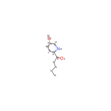 CCCCC(=O)c1ccc(Br)cn1